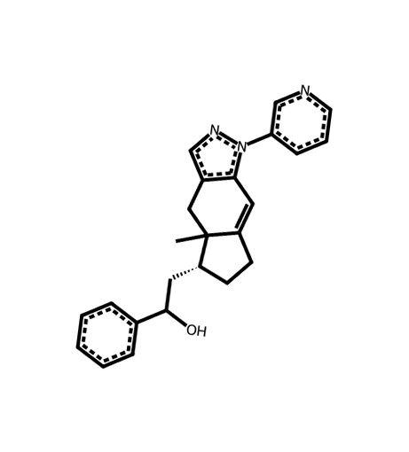 CC12Cc3cnn(-c4cccnc4)c3C=C1CC[C@@H]2CC(O)c1ccccc1